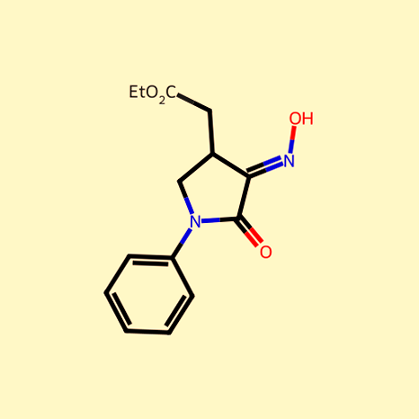 CCOC(=O)CC1CN(c2ccccc2)C(=O)/C1=N/O